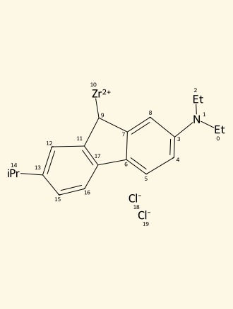 CCN(CC)c1ccc2c(c1)[CH]([Zr+2])c1cc(C(C)C)ccc1-2.[Cl-].[Cl-]